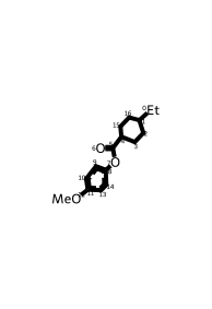 CCC1CCC(C(=O)Oc2ccc(OC)cc2)CC1